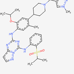 Cc1cc(Nc2nc(Nc3ccccc3S(=O)(=O)C(C)C)n3nccc3n2)c(OC(C)C)cc1C1CCN(Cc2cnn(C)c2)CC1